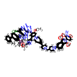 COc1cc(N2CCC(C3CCN(CC4CCN(c5ccc6c(c5)C(=O)N(C5CCC(=O)NC5=O)C6=O)CC4)CC3)CC2)c(-c2cnn(C)c2)cc1Nc1ncc(Cl)c(Nc2ccc(-c3ccccc3)cc2P(C)(C)=O)n1